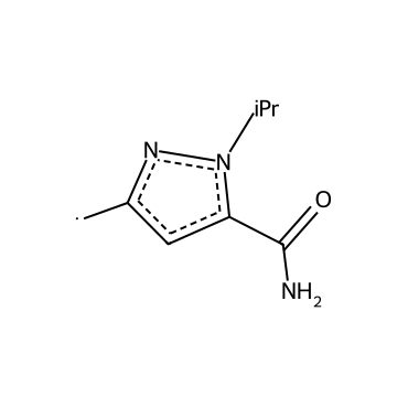 [CH2]c1cc(C(N)=O)n(C(C)C)n1